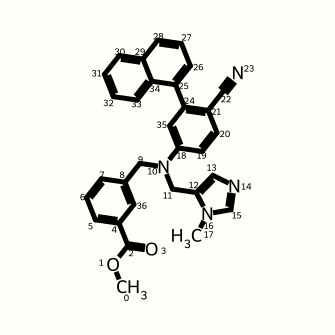 COC(=O)c1cccc(CN(Cc2cncn2C)c2ccc(C#N)c(-c3cccc4ccccc34)c2)c1